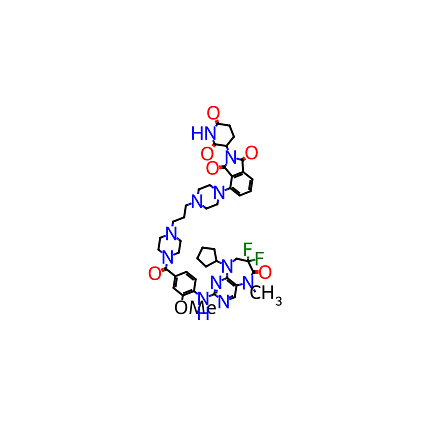 COc1cc(C(=O)N2CCN(CCCN3CCN(c4cccc5c4C(=O)N(C4CCC(=O)NC4=O)C5=O)CC3)CC2)ccc1Nc1ncc2c(n1)N(C1CCCC1)CC(F)(F)C(=O)N2C